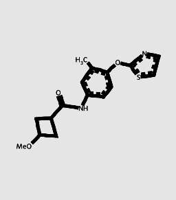 COC1CC(C(=O)Nc2ccc(Oc3nccs3)c(C)c2)C1